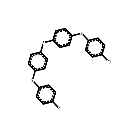 Clc1ccc(Sc2ccc(Sc3ccc(Sc4ccc(Cl)cc4)cc3)cc2)cc1